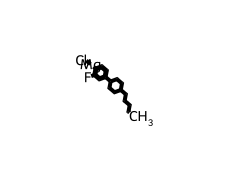 CCCCCC1CCC(c2cc[c]([Mg][Cl])c(F)c2)CC1